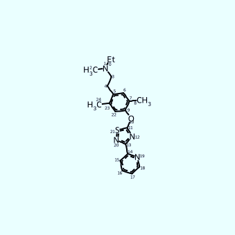 CCN(C)CCc1cc(C)c(Oc2nc(-c3ccccn3)ns2)cc1C